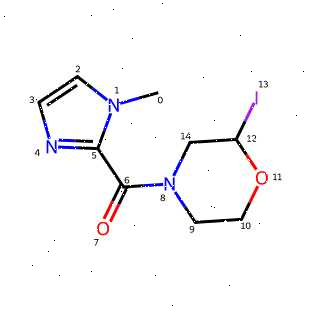 Cn1ccnc1C(=O)N1CCOC(I)C1